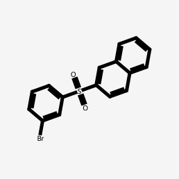 O=S(=O)(c1cccc(Br)c1)c1ccc2ccccc2c1